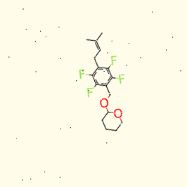 CC(C)=CCc1c(F)c(F)c(COC2CCCCO2)c(F)c1F